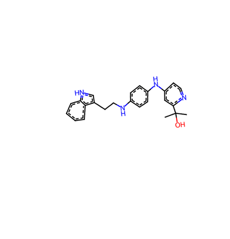 CC(C)(O)c1cc(Nc2ccc(NCCc3c[nH]c4ccccc34)cc2)ccn1